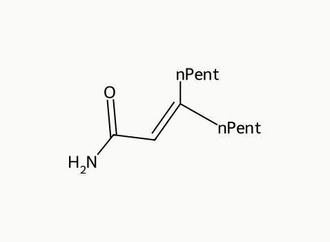 CCCCCC(=CC(N)=O)CCCCC